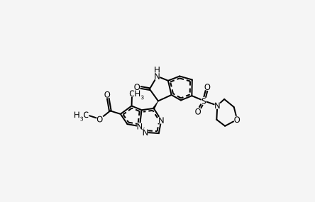 COC(=O)c1cn2ncnc([C@H]3C(=O)Nc4ccc(S(=O)(=O)N5CCOCC5)cc43)c2c1C